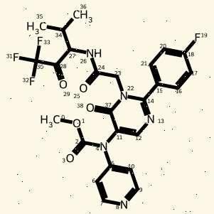 COC(=O)N(c1ccncc1)c1cnc(-c2ccc(F)cc2)n(CC(=O)NC(C(=O)C(F)(F)F)C(C)C)c1=O